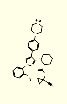 COc1ccccc1-n1cc(-c2ccc(N3CCS(=O)(=O)CC3)cc2)c([C@@H]2CCCC[C@H]2C(=O)NC2(C#N)CC2)n1